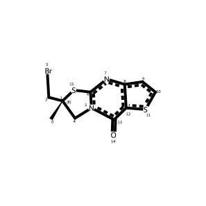 C[C@]1(CBr)Cn2c(nc3ccsc3c2=O)S1